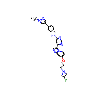 Cn1cc(-c2ccc(CNc3cc(-c4cnc5cc(OCCCN6CC(F)C6)ccn45)ncn3)cc2)cn1